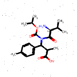 Cc1ccc(C(C(C)C(=O)O)N(C(=O)OC(C)C)C(=O)[C@@H](N)C(C)C)cc1